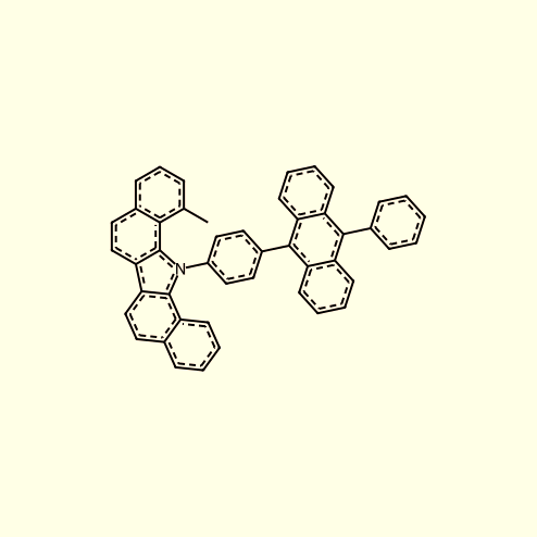 Cc1cccc2ccc3c4ccc5ccccc5c4n(-c4ccc(-c5c6ccccc6c(-c6ccccc6)c6ccccc56)cc4)c3c12